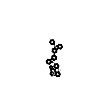 c1ccc(-n2c3ccccc3c3cc(-c4ccc5c(c4)c4ccccc4n5-c4ccc5c(c4)C4(c6ccccc6O5)c5ccccc5-c5ccnn54)ccc32)cc1